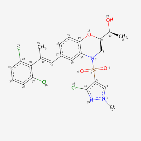 CCn1cc(S(=O)(=O)N2C[C@H]([C@H](C)O)Oc3ccc(/C=C(\C)c4c(F)cccc4Cl)cc32)c(Cl)n1